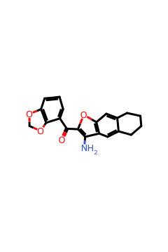 Nc1c(C(=O)c2cccc3c2OCO3)oc2cc3c(cc12)CCCC3